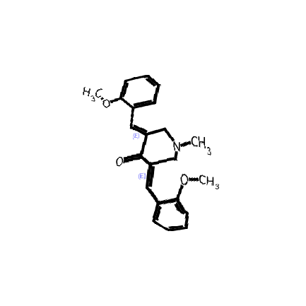 COc1ccccc1/C=C1\CN(C)C/C(=C\c2ccccc2OC)C1=O